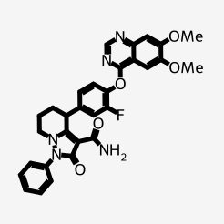 COc1cc2ncnc(Oc3ccc(C4CCCn5c4c(C(N)=O)c(=O)n5-c4ccccc4)cc3F)c2cc1OC